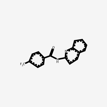 O=C(Nc1ccc2ccccc2n1)c1ccc(C(F)(F)F)cc1